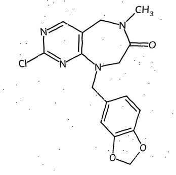 CN1Cc2cnc(Cl)nc2N(Cc2ccc3c(c2)OCO3)CC1=O